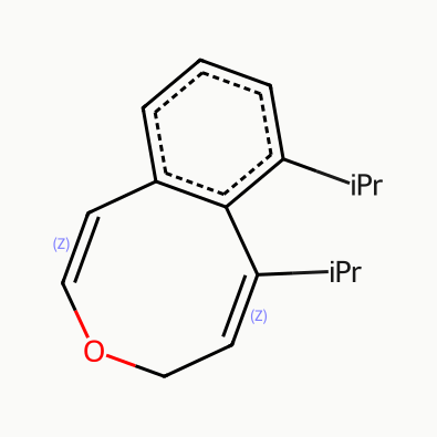 CC(C)/C1=C/CO/C=C\c2cccc(C(C)C)c21